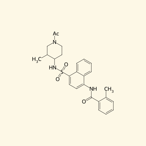 CC(=O)N1CCC(NS(=O)(=O)c2ccc(NC(=O)c3ccccc3C)c3ccccc23)C(C)C1